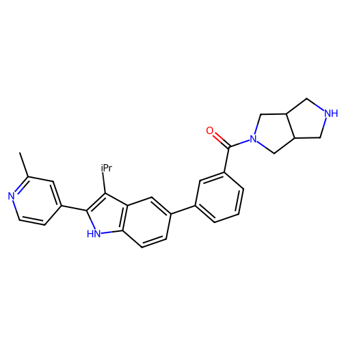 Cc1cc(-c2[nH]c3ccc(-c4cccc(C(=O)N5CC6CNCC6C5)c4)cc3c2C(C)C)ccn1